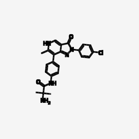 Cc1[nH]cc2c(=O)n(-c3ccc(Cl)cc3)nc-2c1-c1ccc(NC(=O)C(C)(C)N)cc1